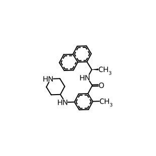 Cc1ccc(NC2CCNCC2)cc1C(=O)N[C@H](C)c1cccc2ccccc12